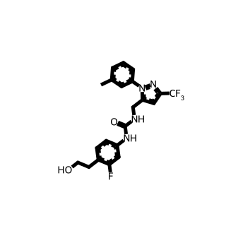 Cc1cccc(-n2nc(C(F)(F)F)cc2CNC(=O)Nc2ccc(CCO)c(F)c2)c1